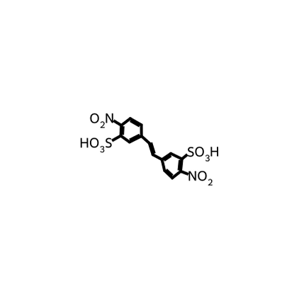 O=[N+]([O-])c1ccc(C=Cc2ccc([N+](=O)[O-])c(S(=O)(=O)O)c2)cc1S(=O)(=O)O